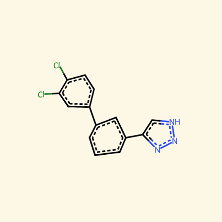 Clc1ccc(-c2cccc(-c3c[nH]nn3)c2)cc1Cl